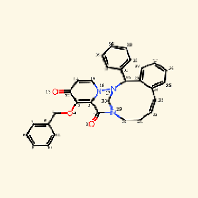 O=C1c2c(OCc3ccccc3)c(=O)ccn2N2CN1CC/C=C\c1ccccc1C2c1ccccc1